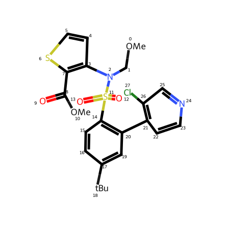 COCN(c1ccsc1C(=O)OC)S(=O)(=O)c1ccc(C(C)(C)C)cc1-c1ccncc1Cl